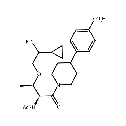 CC(=O)N[C@H](C(=O)N1CCC(c2ccc(C(=O)O)cc2)CC1)[C@@H](C)OCC(C1CC1)C(F)(F)F